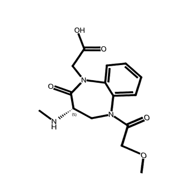 CN[C@H]1CN(C(=O)COC)c2ccccc2N(CC(=O)O)C1=O